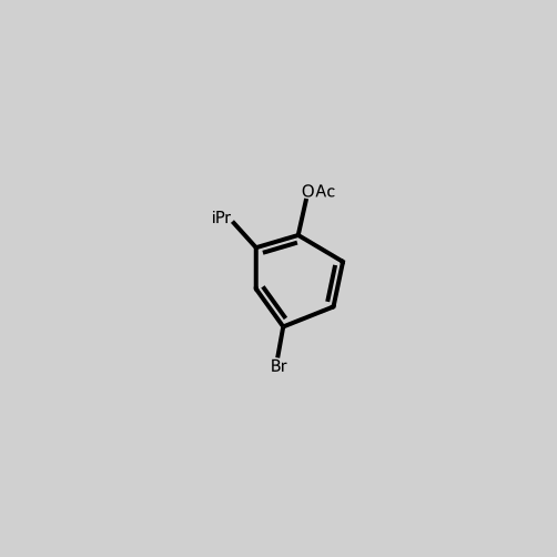 CC(=O)Oc1ccc(Br)cc1C(C)C